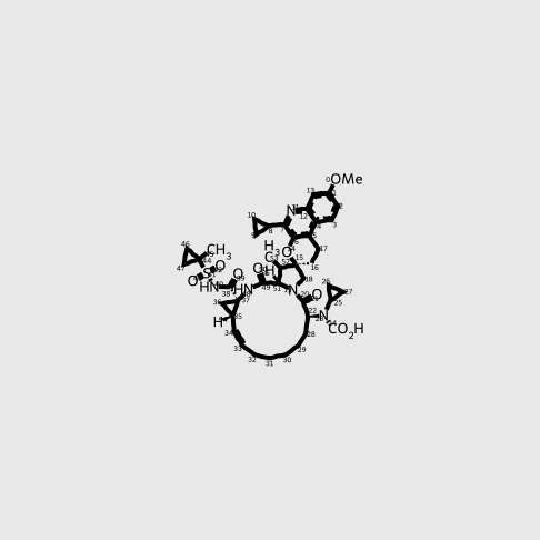 COc1ccc2c3c(c(C4CC4)nc2c1)O[C@@]1(CC3)CN2C(=O)[C@@H](N(C(=O)O)C3CC3)CCCCC/C=C\[C@@H]3C[C@@]3(C(=O)NS(=O)(=O)C3(C)CC3)NC(=O)[C@@H]2C1C